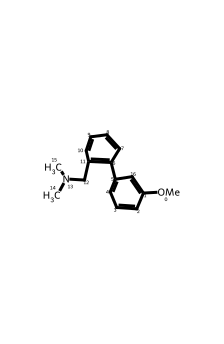 COc1cccc(-c2[c]cccc2CN(C)C)c1